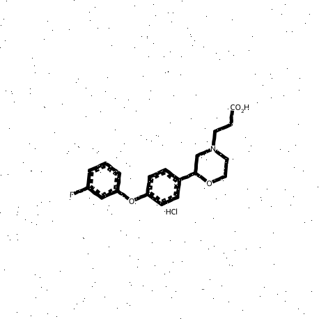 Cl.O=C(O)CCN1CCOC(c2ccc(Oc3cccc(F)c3)cc2)C1